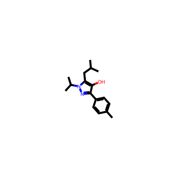 Cc1ccc(-c2nn(C(C)C)c(CC(C)C)c2O)cc1